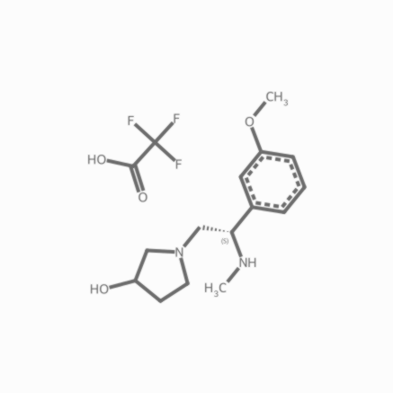 CN[C@H](CN1CCC(O)C1)c1cccc(OC)c1.O=C(O)C(F)(F)F